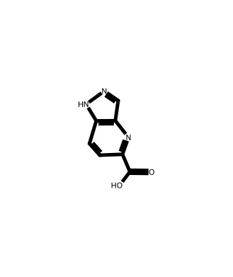 O=C(O)c1ccc2[nH]ncc2n1